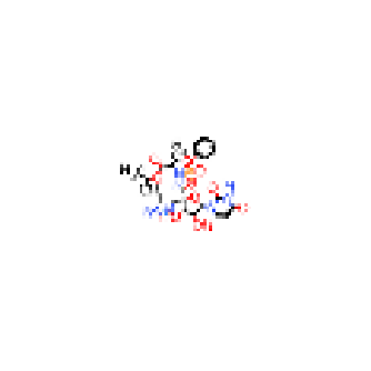 CC(C)OC(=O)C(C)NP(=O)(OC[C@@]1(CN=[N+]=[N-])OC(n2ccc(=O)[nH]c2=O)[C@H](O)[C@@H]1O)Oc1ccccc1